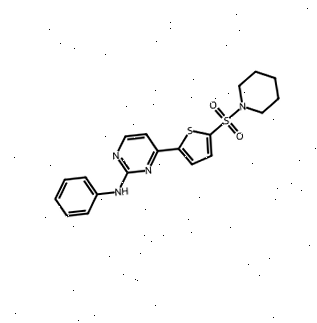 O=S(=O)(c1ccc(-c2ccnc(Nc3ccccc3)n2)s1)N1CCCCC1